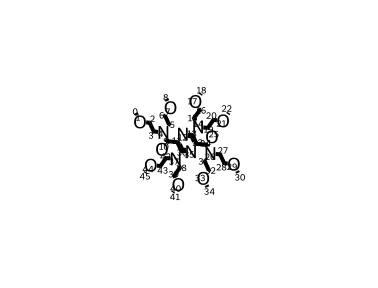 COCCN(CCOC)C(=O)c1nc(N(CCOC)CCOC)c(C(=O)N(CCOC)CCOC)nc1N(CCOC)CCOC